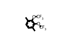 Cc1ccc(C)c(OC(F)(F)F)c1OC(F)(F)F